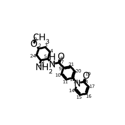 COC1CCC(NC(=O)c2ccc(-n3ccccc3=O)cc2)C(N)C1